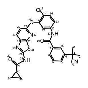 CC(C)(C#N)c1cccc(C(=O)Nc2ccc(Cl)c(Oc3ccc4nc(NC(=O)C5CC5)sc4n3)c2)c1